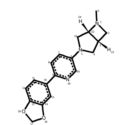 CN1C[C@@H]2CN(c3ccc(-c4ccc5c(c4)OCO5)nc3)C[C@@H]21